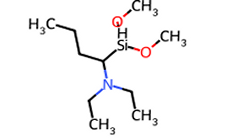 CCCC(N(CC)CC)[SiH](OC)OC